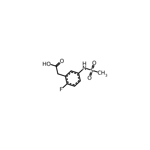 CS(=O)(=O)Nc1ccc(F)c(CC(=O)O)c1